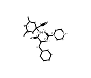 CC1CC(C#N)(NC(=O)C(CC2CCCCC2)NC(=O)N2CCOCC2)CC(C)N1